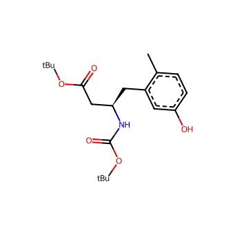 Cc1ccc(O)cc1C[C@H](CC(=O)OC(C)(C)C)NC(=O)OC(C)(C)C